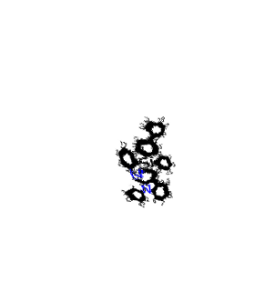 C1=CCC(N2C3C=CC=CC3C3CC([Si](c4ccccc4)(c4ccc(-c5ccccc5)cc4)C4C=CC=CC4)N=CC32)C=C1